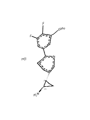 COc1cc(-c2ccc([C@@H]3C[C@H]3N)cn2)cc(F)c1F.Cl